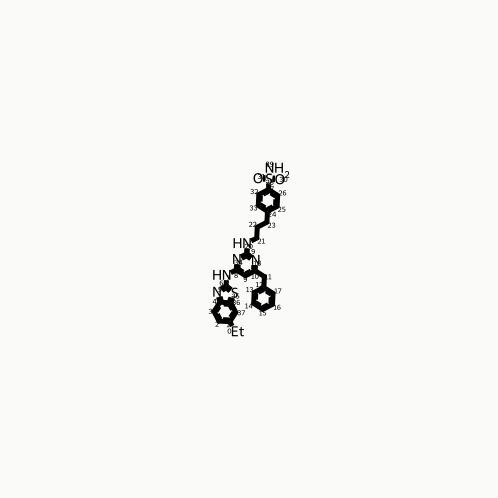 CCc1ccc2nc(Nc3cc(Cc4ccccc4)nc(NCCCc4ccc(S(N)(=O)=O)cc4)n3)sc2c1